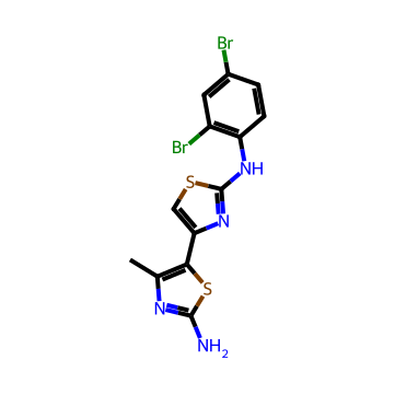 Cc1nc(N)sc1-c1csc(Nc2ccc(Br)cc2Br)n1